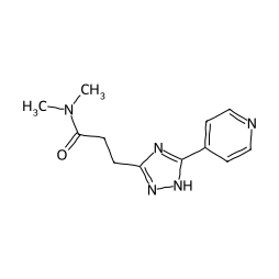 CN(C)C(=O)CCc1n[nH]c(-c2ccncc2)n1